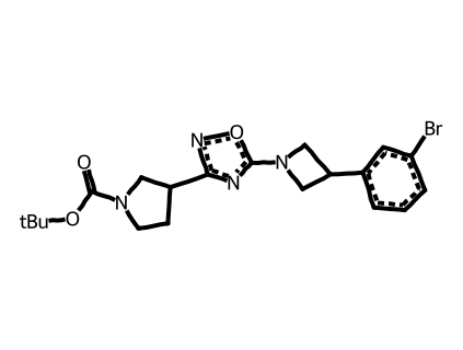 CC(C)(C)OC(=O)N1CCC(c2noc(N3CC(c4cccc(Br)c4)C3)n2)C1